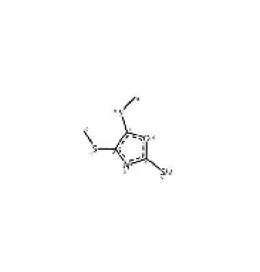 CSc1nc(S)oc1SC